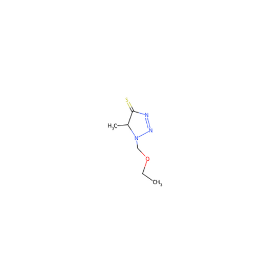 CCOCN1N=NC(=S)C1C